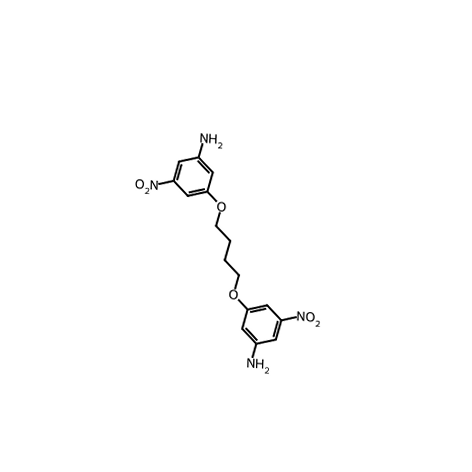 Nc1cc(OCCCCOc2cc(N)cc([N+](=O)[O-])c2)cc([N+](=O)[O-])c1